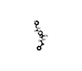 N#Cc1c(NC(=O)C2CC2c2ccccc2)sc2c1CCN(C(=O)NCc1cccnc1)C2